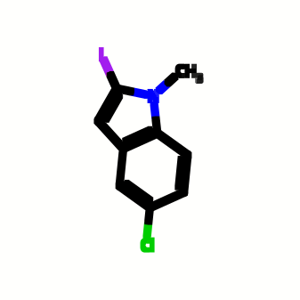 Cn1c(I)cc2cc(Cl)ccc21